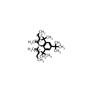 CCCC(C)P(c1c(C(C)(C)C)cc(C(C)(C)C)cc1C(C)(C)C)C(C)CCC